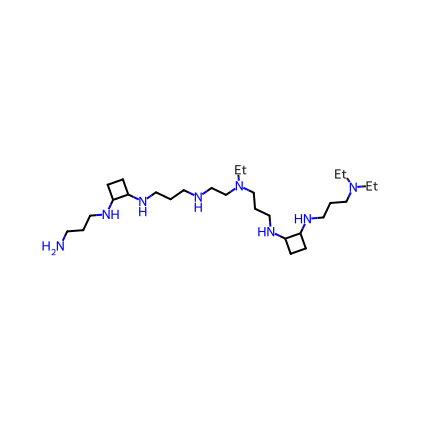 CCN(CC)CCCNC1CCC1NCCCN(CC)CCNCCCNC1CCC1NCCCN